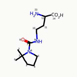 CC1(C)CCCN1C(=O)NCCC(N)C(=O)O